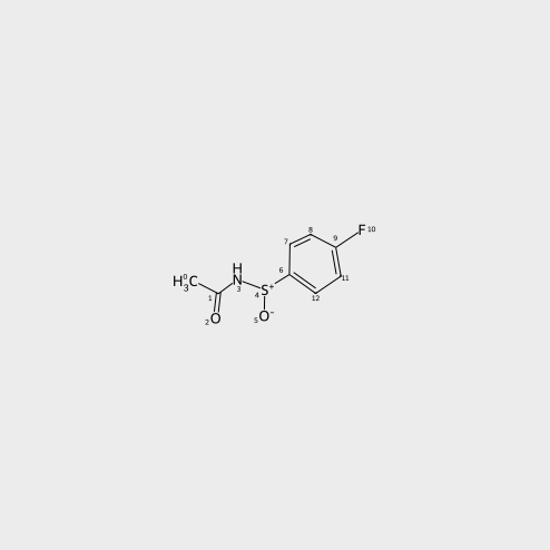 CC(=O)N[S+]([O-])c1ccc(F)cc1